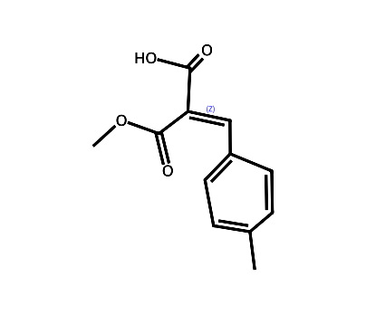 COC(=O)/C(=C\c1ccc(C)cc1)C(=O)O